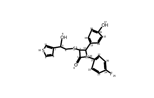 O=C1C(SCC(O)c2ccsc2)C(c2ccc(O)cc2)N1c1ccc(F)cc1